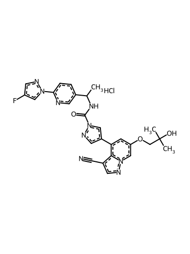 CC(NC(=O)n1cc(-c2cc(OCC(C)(C)O)cn3ncc(C#N)c23)cn1)c1ccc(-n2cc(F)cn2)nc1.Cl